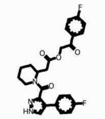 O=C(CC1CCCCN1C(=O)c1n[nH]cc1-c1ccc(F)cc1)OCC(=O)c1ccc(F)cc1